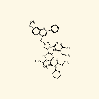 CC[C@H](NC(=O)[C@@H]1C[C@@H](Oc2cc(-c3ccccc3)nc3cc(OC)ccc23)CC1C(=O)N[C@@H](C(=O)N[C@@H](C(=O)OC)C1CCCCC1)C(C)C)C(=O)O